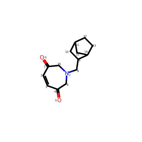 O=C1C=CC(=O)CN(CC2CC3CCC2C3)C1